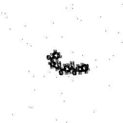 O=C(NC[C@H]1CCN(C(=O)c2ccccc2)C1)c1ccc(NC(=O)N2Cc3ccncc3C2)cc1